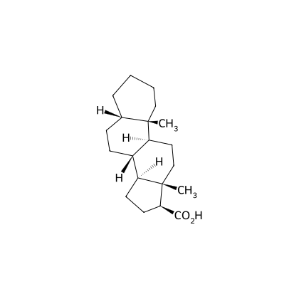 C[C@]12CCCC[C@H]1CC[C@@H]1[C@@H]2CC[C@]2(C)[C@@H](C(=O)O)CC[C@@H]12